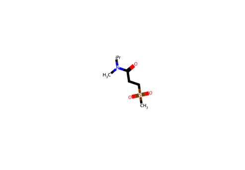 CC(C)N(C)C(=O)CCS(C)(=O)=O